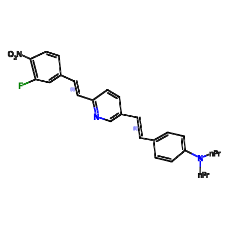 CCCN(CCC)c1ccc(/C=C/c2ccc(/C=C/c3ccc([N+](=O)[O-])c(F)c3)nc2)cc1